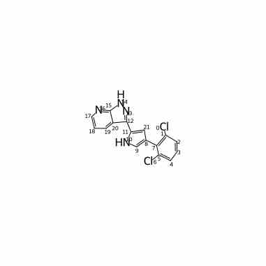 Clc1cccc(Cl)c1-c1c[nH]c(-c2n[nH]c3ncccc23)c1